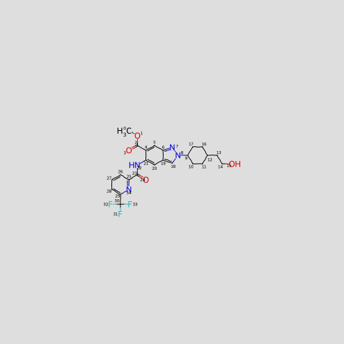 COC(=O)c1cc2nn(C3CCC(CCO)CC3)cc2cc1NC(=O)c1cccc(C(F)(F)F)n1